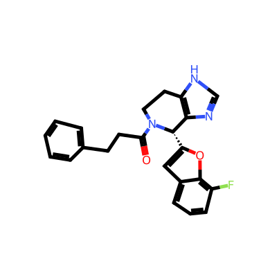 O=C(CCc1ccccc1)N1CCc2[nH]cnc2[C@@H]1c1cc2cccc(F)c2o1